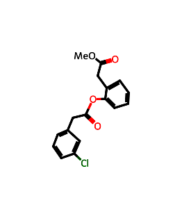 COC(=O)Cc1ccccc1OC(=O)Cc1cccc(Cl)c1